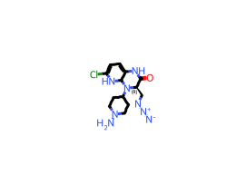 [N-]=[N+]=NC[C@@H]1C(=O)NC2=CC=C(Cl)NC2N1C1CCN(N)CC1